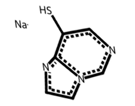 Sc1cncn2ccnc12.[Na]